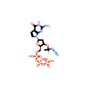 CC(F)(N=[N+]=[N-])OC1C[C@H](n2ccc3c(=O)[nH]c(N)nc32)O[C@@H]1COP(=O)(O)OP(=O)(O)OP(=O)(O)O